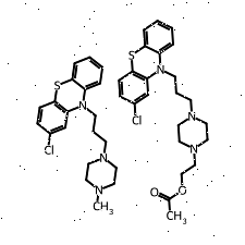 CC(=O)OCCN1CCN(CCCN2c3ccccc3Sc3ccc(Cl)cc32)CC1.CN1CCN(CCCN2c3ccccc3Sc3ccc(Cl)cc32)CC1